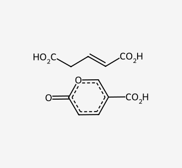 O=C(O)C=CCC(=O)O.O=C(O)c1ccc(=O)oc1